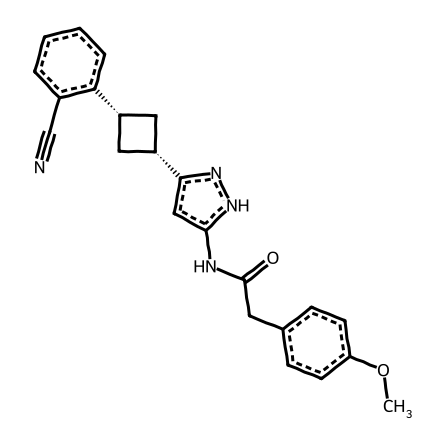 COc1ccc(CC(=O)Nc2cc([C@H]3C[C@@H](c4ccccc4C#N)C3)n[nH]2)cc1